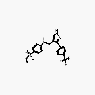 CCS(=O)(=O)c1ccc(NCc2c[nH]nc2-c2ccc(C(F)(F)F)cc2)cc1